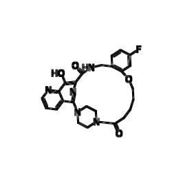 O=C1NCc2ccc(F)cc2OCCCCC(=O)N2CCN(CC2)c2nc1c(O)c1ncccc21